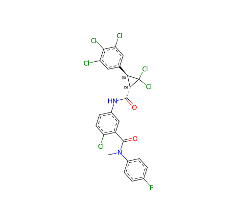 CN(C(=O)c1cc(NC(=O)[C@@H]2[C@@H](c3cc(Cl)c(Cl)c(Cl)c3)C2(Cl)Cl)ccc1Cl)c1ccc(F)cc1